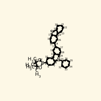 CC1(C)OB(c2ccc3c(c2)c2cc(-c4ccc5sc6ccccc6c5c4)ccc2n3-c2ccccc2)OC1(C)C